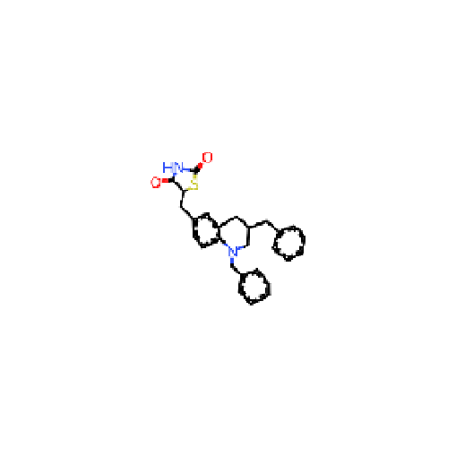 O=C1NC(=O)C(Cc2ccc3c(c2)CC(Cc2ccccc2)CN3Cc2ccccc2)S1